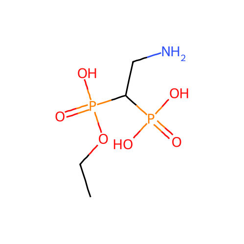 CCOP(=O)(O)C(CN)P(=O)(O)O